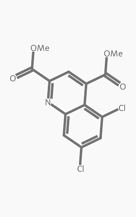 COC(=O)c1cc(C(=O)OC)c2c(Cl)cc(Cl)cc2n1